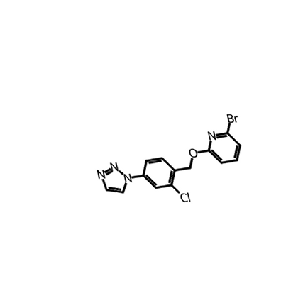 Clc1cc(-n2ccnn2)ccc1COc1cccc(Br)n1